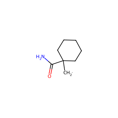 [CH2]C1(C(N)=O)CCCCC1